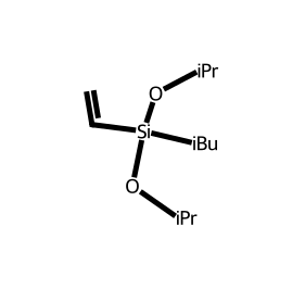 C=C[Si](OC(C)C)(OC(C)C)C(C)CC